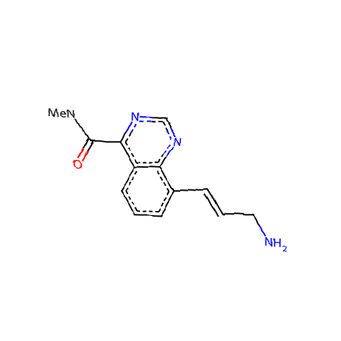 CNC(=O)c1ncnc2c(C=CCN)cccc12